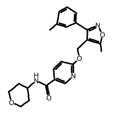 Cc1cccc(-c2noc(C)c2COc2ccc(C(=O)NC3CCOCC3)cn2)c1